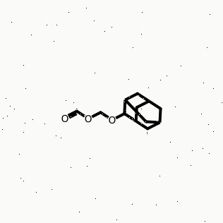 O=[C]OCOC1C2CC3CC(C2)CC1C3